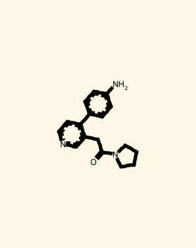 Nc1ccc(-c2ccncc2CC(=O)N2CCCC2)cc1